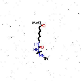 COC(=O)CCCCCCNC(=O)NC(C)(C)N=NC(C)C